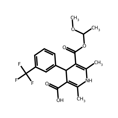 COC(C)OC(=O)C1=C(C)NC(C)=C(C(=O)O)C1c1cccc(C(F)(F)F)c1